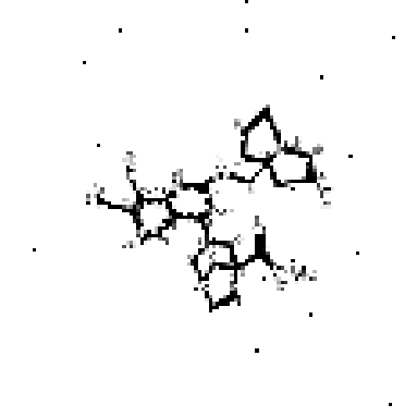 COC(=O)C12CCC(CN(c3nc(OC[C@@]45CCCN4C[C@H](F)C5)nc4c(F)c(Cl)ncc34)C1)C2